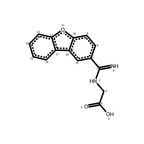 N=C(NCC(=O)O)c1ccc2oc3ccccc3c2c1